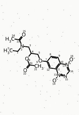 CCN(CC(COc1ccc2c(c1)[n+]([O-])nc[n+]2[O-])OC(C)=O)C(C)=O